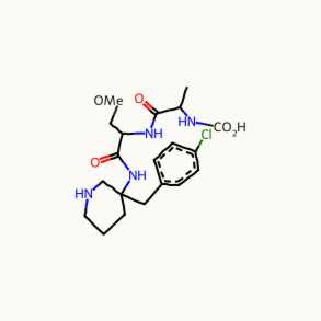 COCC(NC(=O)C(C)NC(=O)O)C(=O)NC1(Cc2ccc(Cl)cc2)CCCNC1